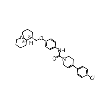 O=C(Nc1ccc(OC[C@@H]2CCCN3CCCC[C@H]23)cc1)N1CC=C(c2ccc(Cl)cc2)CC1